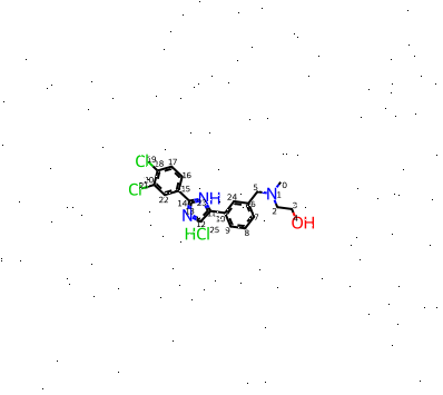 CN(CCO)Cc1cccc(-c2cnc(-c3ccc(Cl)c(Cl)c3)[nH]2)c1.Cl